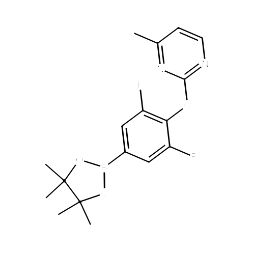 Cc1ccnc(Oc2c(F)cc(B3OC(C)(C)C(C)(C)O3)cc2F)n1